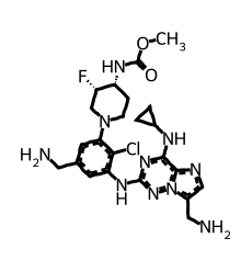 COC(=O)N[C@@H]1CCN(c2cc(CN)cc(Nc3nc(NC4CC4)c4ncc(CN)n4n3)c2Cl)C[C@@H]1F